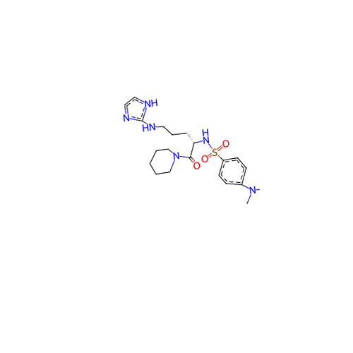 CN(C)c1ccc(S(=O)(=O)N[C@@H](CCCNc2ncc[nH]2)C(=O)N2CCCCC2)cc1